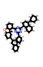 CC12C=C(c3ccc4ccccc4c3)C=CC1Oc1cccc(-c3nc(-c4ccccc4)nc(-c4ccc(-c5ccccc5)c5ccccc45)n3)c12